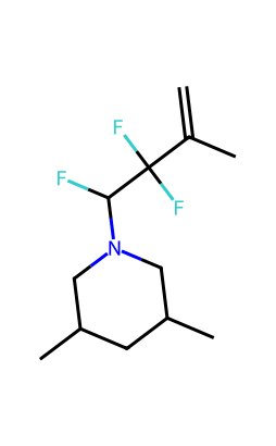 C=C(C)C(F)(F)C(F)N1CC(C)CC(C)C1